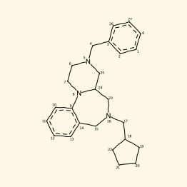 c1ccc(CN2CCN3c4ccccc4CN(CC4CCCC4)CC3C2)cc1